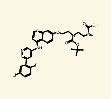 CN(CCN(CCOc1ccc2c(Nc3cnnc(-c4cc(Cl)ccc4F)c3)ccnc2c1)C(=O)OC(C)(C)C)C(=O)O